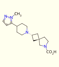 Cn1nccc1C1CCN([C@H]2C[C@]3(CCN(C(=O)O)C3)C2)CC1